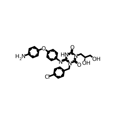 Nc1ccc(Oc2ccc(/N=c3\[nH]c(=O)n(C[C@H](O)CO)c(=O)n3Cc3ccc(Cl)cc3)cc2)cc1